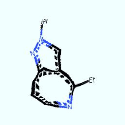 CCc1nccc2nn(C(C)C)cc12